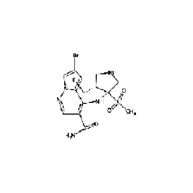 CS(=O)(=O)[C@]1(Nc2c(C(N)=O)cnn3cc(Br)cc23)CNC[C@H]1CF